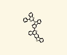 c1ccc(-c2nc(-n3c4ccccc4c4cc(-c5nc6cc7c(cc6c6ccccc56)oc5ccccc57)ccc43)nc3ccccc23)cc1